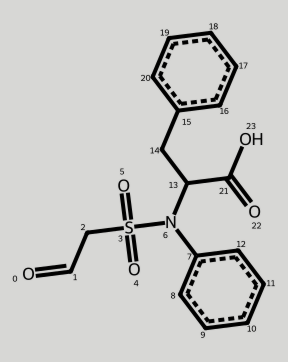 O=CCS(=O)(=O)N(c1ccccc1)C(Cc1ccccc1)C(=O)O